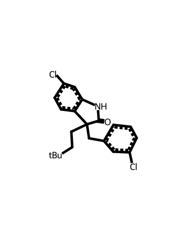 CC(C)(C)CCC1(Cc2cccc(Cl)c2)C(=O)Nc2cc(Cl)ccc21